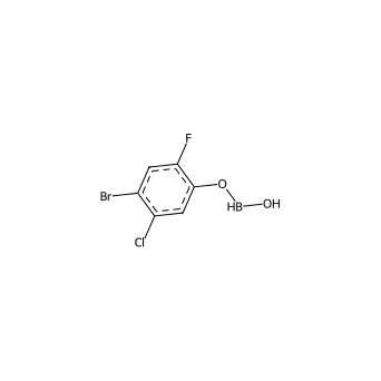 OBOc1cc(Cl)c(Br)cc1F